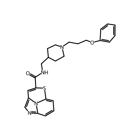 O=C(NCC1CCN(CCCOc2ccccc2)CC1)C1=Cc2cnc3cccc(n23)S1